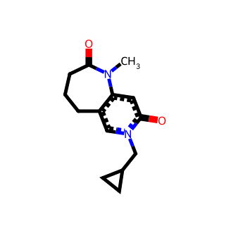 CN1C(=O)CCCc2cn(CC3CC3)c(=O)cc21